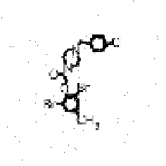 Cc1cc(Br)c(OCC(=O)N2CCN(Cc3ccc(Cl)cc3)CC2)c(Br)c1